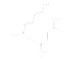 C/C=C/C=C/C(=O)O.O=C(O)CCC(=O)O